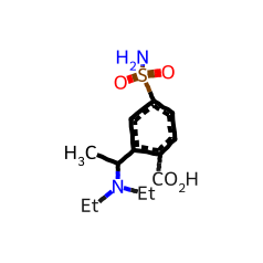 CCN(CC)C(C)c1cc(S(N)(=O)=O)ccc1C(=O)O